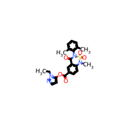 CCn1nccc1OC(=O)c1ccc2c(c1)C(=O)N(c1c(C)cccc1C)S(=O)(=O)N2C